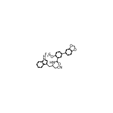 N#CCC(Cc1c[nH]c2ccccc12)NC(=O)c1cc(-c2ccc3c(c2)OCO3)ccc1OC(F)(F)F